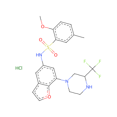 COc1ccc(C)cc1S(=O)(=O)Nc1cc(N2CCNC(C(F)(F)F)C2)c2occc2c1.Cl